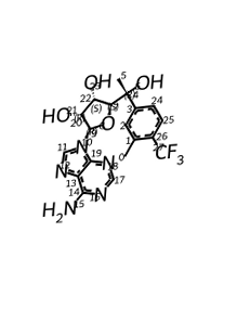 Cc1cc([C@@](C)(O)[C@H]2O[C@@H](n3cnc4c(N)ncnc43)[C@H](O)[C@@H]2O)ccc1C(F)(F)F